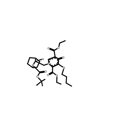 CCCCOc1c(C(=O)OCC)n(C[C@H]2C3CCC(CC3)N2C(=O)OC(C)(C)C)cc(C(=O)OCC)c1=O